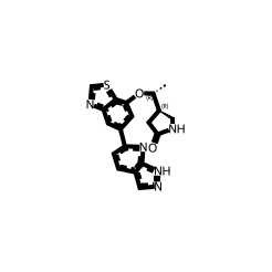 C[C@@H](Oc1cc(-c2ccc3cn[nH]c3n2)cc2ncsc12)[C@H]1CNC(=O)C1